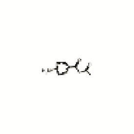 CC(=O)CC(=O)c1ccc(N)cc1